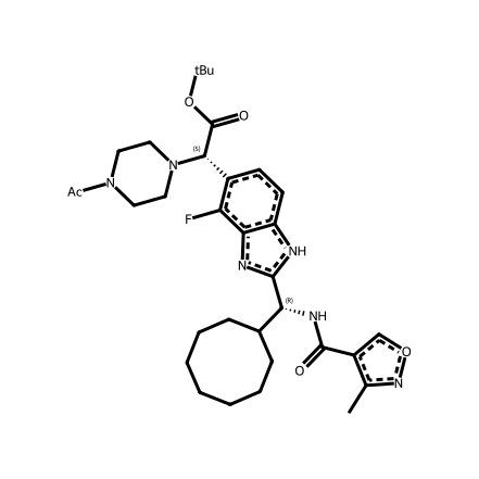 CC(=O)N1CCN([C@H](C(=O)OC(C)(C)C)c2ccc3[nH]c([C@H](NC(=O)c4conc4C)C4CCCCCCC4)nc3c2F)CC1